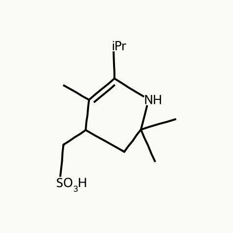 CC1=C(C(C)C)NC(C)(C)CC1CS(=O)(=O)O